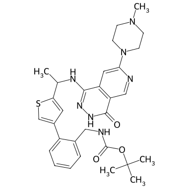 CC(Nc1n[nH]c(=O)c2cnc(N3CCN(C)CC3)cc12)c1cc(-c2ccccc2CNC(=O)OC(C)(C)C)cs1